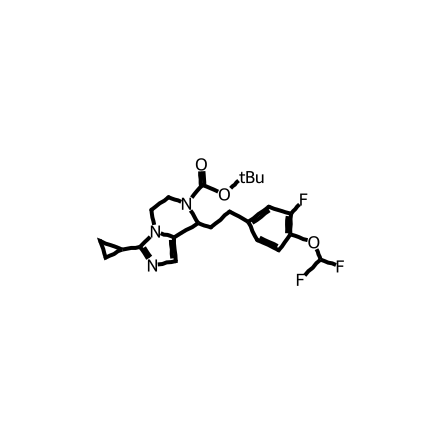 CC(C)(C)OC(=O)N1CCn2c(cnc2C2CC2)C1CCc1ccc(OC(F)F)c(F)c1